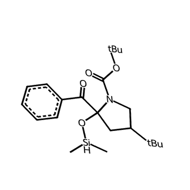 C[SiH](C)OC1(C(=O)c2ccccc2)CC(C(C)(C)C)CN1C(=O)OC(C)(C)C